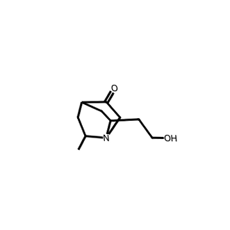 CC1CC2CC(CCO)N1CC2=O